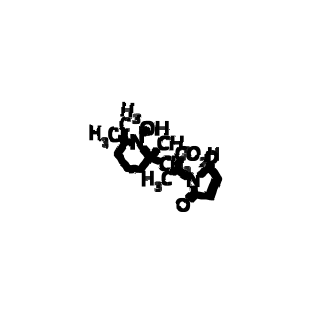 CC(C(=O)O)N1C(=O)C=CC1=O.CC1(C)CCCC(C)(C)N1O